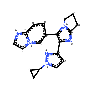 c1cn2cc(-c3c(-c4ccn(C5CC5)n4)nc4n3CCC4)ccc2n1